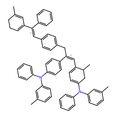 CC1=CC(/C(=C/c2ccc(C/C(=C/C3=CC=C(N(c4ccccc4)c4cccc(C)c4)CC3C)c3ccc(N(c4ccccc4)c4cccc(C)c4)cc3)cc2)c2ccccc2)=CCC1